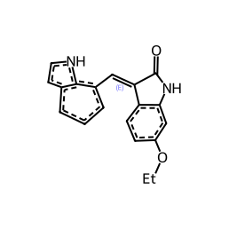 CCOc1ccc2c(c1)NC(=O)/C2=C/c1cccc2cc[nH]c12